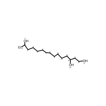 CCC(O)CCCCCCCCCCC(O)CCO